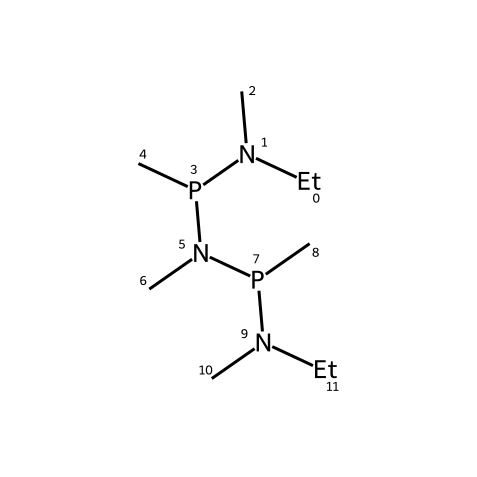 CCN(C)P(C)N(C)P(C)N(C)CC